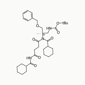 CC(C)(C)OC(=O)NC[C@](C)(COCc1ccccc1)N(C(=O)CCC(=O)NC(=O)C1CCCCC1)C(=O)C1CCCCC1